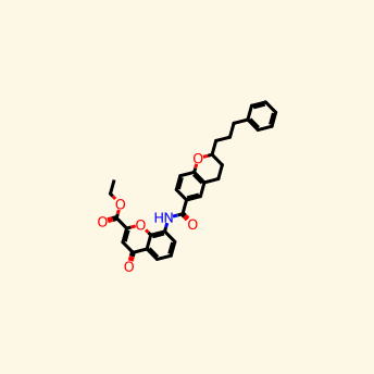 CCOC(=O)c1cc(=O)c2cccc(NC(=O)c3ccc4c(c3)CCC(CCCc3ccccc3)O4)c2o1